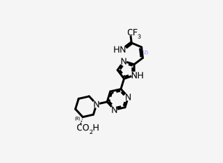 N=C(/C=C\c1ncc(-c2cc(N3CCC[C@@H](C(=O)O)C3)ncn2)[nH]1)C(F)(F)F